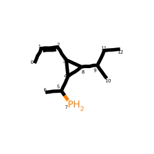 C/C=C\C1C(C(C)P)C1C(C)CC